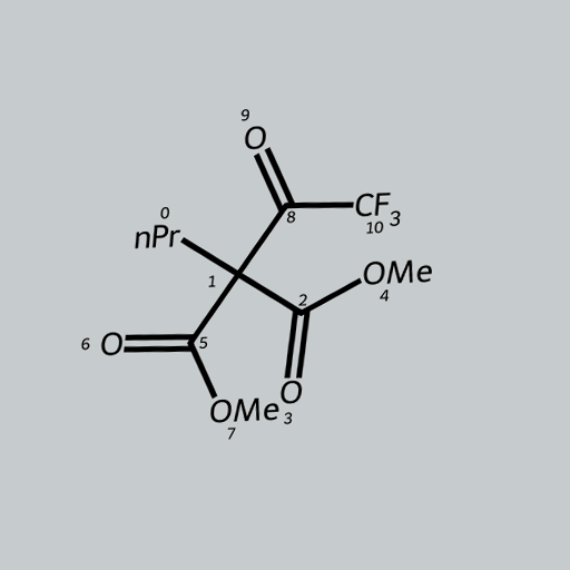 CCCC(C(=O)OC)(C(=O)OC)C(=O)C(F)(F)F